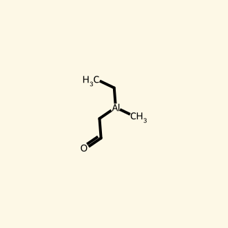 C[CH2][Al]([CH3])[CH2]C=O